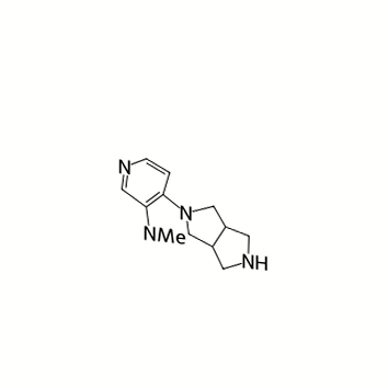 CNc1cnccc1N1CC2CNCC2C1